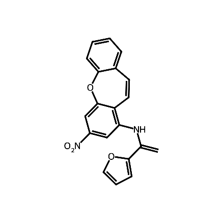 C=C(Nc1cc([N+](=O)[O-])cc2c1C=Cc1ccccc1O2)c1ccco1